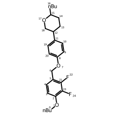 CCCCOc1ccc(COc2ccc(C3CCC(CCCC)OC3)cc2)c(F)c1F